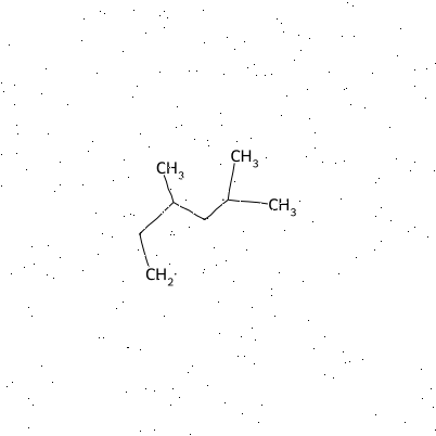 [CH2]CC(C)C[C](C)C